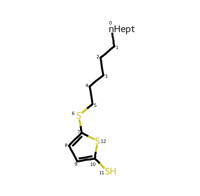 CCCCCCCCCCCCSc1ccc(S)s1